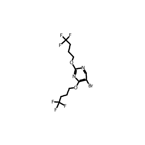 FC(F)(F)CCCOc1ncc(Br)c(OCCCC(F)(F)F)n1